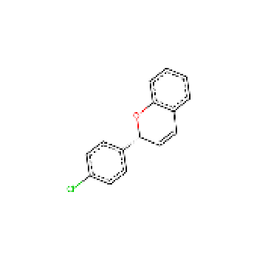 Clc1ccc([C@H]2C=Cc3ccccc3O2)cc1